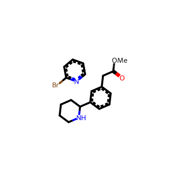 Brc1ccccn1.COC(=O)Cc1cccc(C2CCCCN2)c1